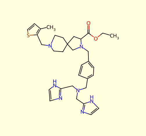 CCOC(=O)C1CC2(CCN(Cc3sccc3C)CC2)CN1Cc1ccc(CN(Cc2ncc[nH]2)Cc2ncc[nH]2)cc1